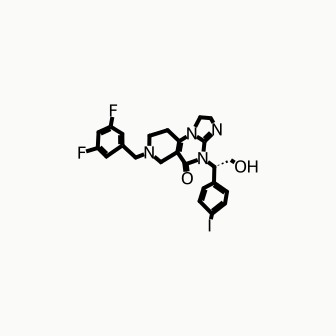 O=C1C2=C(CCN(Cc3cc(F)cc(F)c3)C2)N2CCN=C2N1[C@H](CO)c1ccc(I)cc1